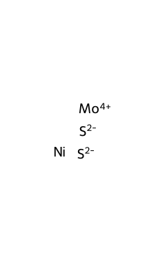 [Mo+4].[Ni].[S-2].[S-2]